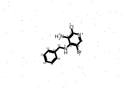 Nc1c(Cl)ncc(Br)c1NCc1ccccc1